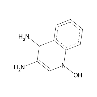 NC1=CN(O)c2ccccc2C1N